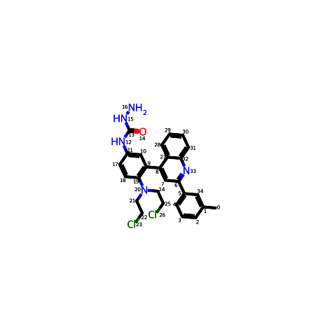 Cc1cccc(-c2cc(-c3cc(NC(=O)NN)ccc3N(CCCl)CCCl)c3ccccc3n2)c1